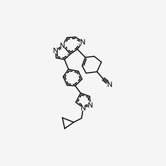 N#CC1CC=C(c2nccn3ncc(-c4ccc(-c5cnn(CC6CC6)c5)cc4)c23)CC1